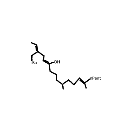 C/C=C(/C/C=C(\O)CCCC(C)CC/C=C(\C)CCCCC)CC(C)CC